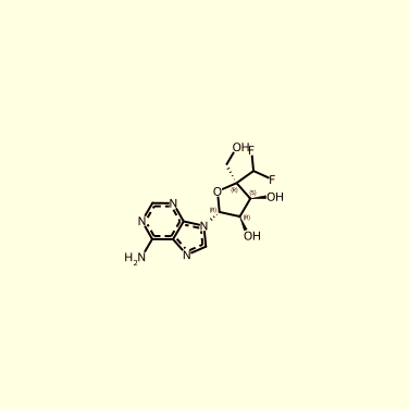 Nc1ncnc2c1ncn2[C@@H]1O[C@@](CO)(C(F)F)[C@@H](O)[C@H]1O